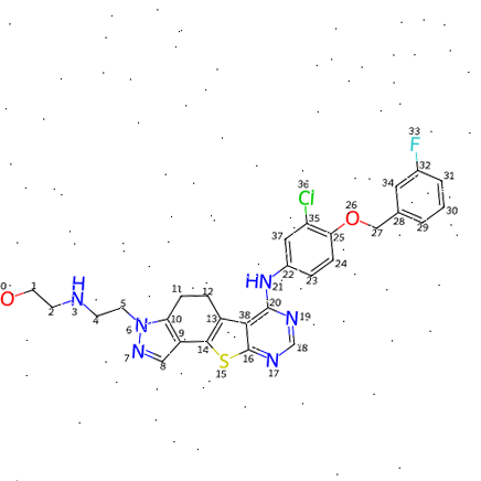 OCCNCCn1ncc2c1CCc1c-2sc2ncnc(Nc3ccc(OCc4cccc(F)c4)c(Cl)c3)c12